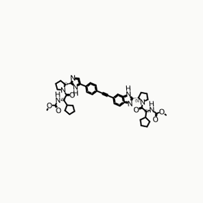 COC(=O)N[C@H](C(=O)N1CCC[C@H]1c1ncc(-c2ccc(C#Cc3ccc4nc([C@@H]5CCCN5C(=O)[C@@H](NC(=O)OC)C5CCCC5)[nH]c4c3)cc2)[nH]1)C1CCCC1